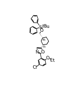 CCOc1ccc(Cl)cc1-c1ncc([C@H]2CCC[C@@H](CO[Si](c3ccccc3)(c3ccccc3)C(C)(C)C)C2)o1